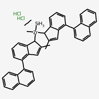 CC.CC1=Cc2c(-c3cccc4ccccc34)cccc2[CH]1[Zr]([CH3])([SiH3])[CH]1C(C)=Cc2c(-c3cccc4ccccc34)cccc21.Cl.Cl